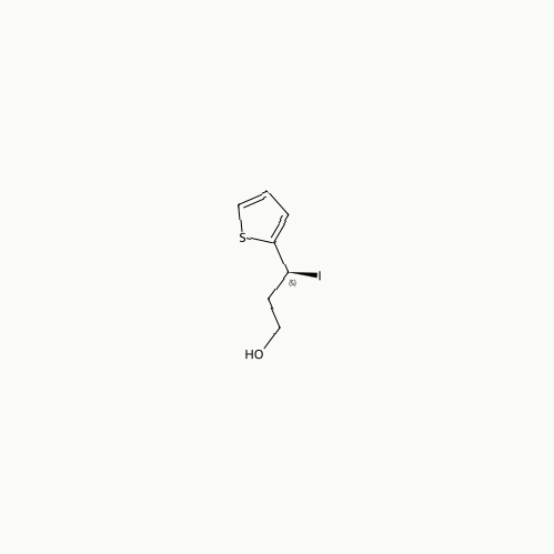 OCC[C@H](I)c1cccs1